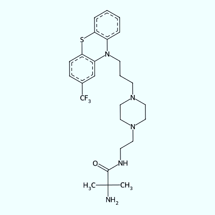 CC(C)(N)C(=O)NCCN1CCN(CCCN2c3ccccc3Sc3ccc(C(F)(F)F)cc32)CC1